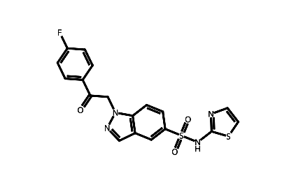 O=C(Cn1ncc2cc(S(=O)(=O)Nc3nccs3)ccc21)c1ccc(F)cc1